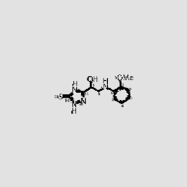 COc1ccccc1NCC(O)c1n[nH]c(=S)[nH]1